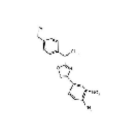 Cc1ccc(-c2noc(C(C)c3ccc(CC(C)C)cc3)n2)cc1[N+](=O)[O-]